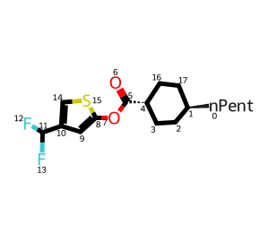 CCCCC[C@H]1CC[C@H](C(=O)Oc2cc(C(F)F)cs2)CC1